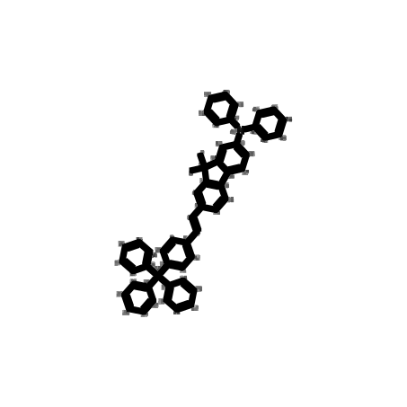 CC1(C)c2cc(/C=C/c3ccc(C(c4ccccc4)(c4ccccc4)c4ccccc4)cc3)ccc2-c2ccc(N(c3ccccc3)c3ccccc3)cc21